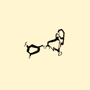 O=c1nc(OCc2cc(F)cc(F)c2)cc2n1CC1CCCN2C1